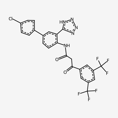 O=C(CC(=O)c1cc(C(F)(F)F)cc(C(F)(F)F)c1)Nc1ccc(-c2ccc(Cl)cc2)cc1-c1nnn[nH]1